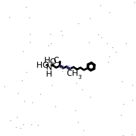 C=C/C(=C\C=C(/C)CCCCc1ccccc1)CC(=O)NO